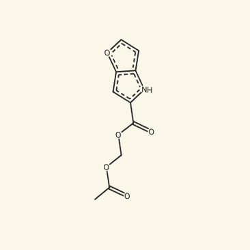 CC(=O)OCOC(=O)c1cc2occc2[nH]1